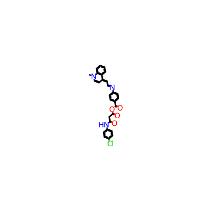 CN1C=CC(=CC=Nc2ccc(C(=O)OC(=O)CC(=O)Nc3ccc(Cl)cc3)cc2)c2ccccc21